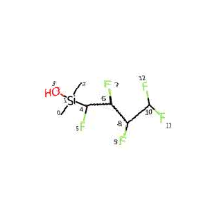 C[Si](C)(O)C(F)C(F)C(F)C(F)F